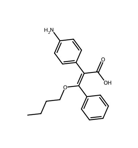 CCCCOC(=C(C(=O)O)c1ccc(N)cc1)c1ccccc1